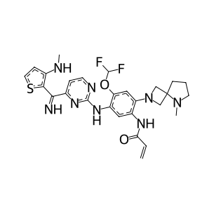 C=CC(=O)Nc1cc(Nc2nccc(C(=N)c3sccc3NC)n2)c(OC(F)F)cc1N1CC2(CCCN2C)C1